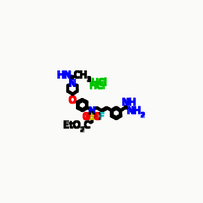 CCOC(=O)CS(=O)(=O)N(C/C(F)=C/c1cccc(C(=N)N)c1)c1ccc(OC2CCN(C(C)=N)CC2)cc1.Cl.Cl